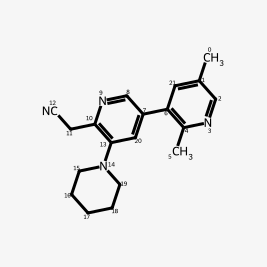 Cc1cnc(C)c(-c2cnc(CC#N)c(N3CCCCC3)c2)c1